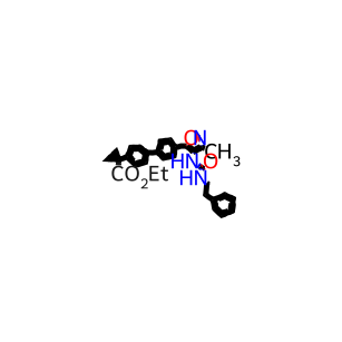 CCOC(=O)C1(c2ccc(-c3ccc(-c4onc(C)c4NC(=O)NCCc4ccccc4)cc3)cc2)CC1